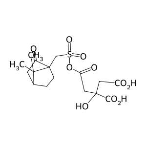 CC1(C)C2CCC1(CS(=O)(=O)OC(=O)CC(O)(CC(=O)O)C(=O)O)C(=O)C2